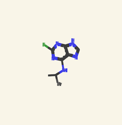 CC(C)C(C)Nc1nc(F)nc2[nH]cnc12